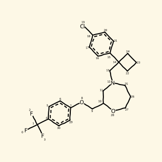 FC(F)(F)c1ccc(OCC2CN(CC3(c4ccc(Cl)cc4)CCC3)CCCO2)cc1